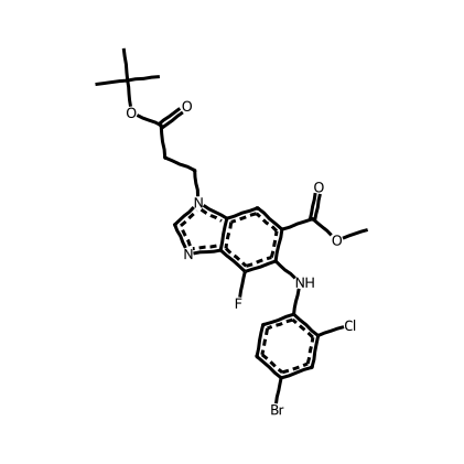 COC(=O)c1cc2c(ncn2CCC(=O)OC(C)(C)C)c(F)c1Nc1ccc(Br)cc1Cl